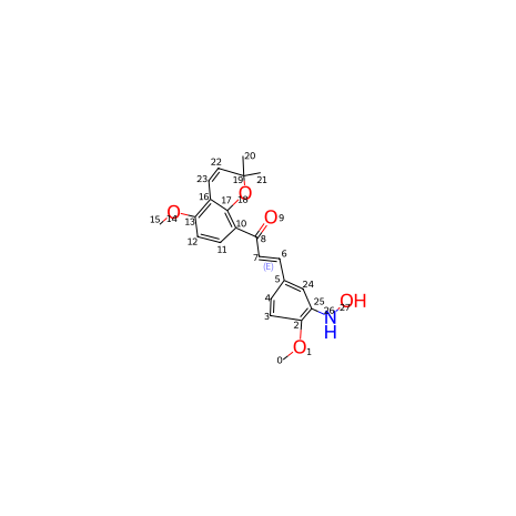 COc1ccc(/C=C/C(=O)c2ccc(OC)c3c2OC(C)(C)C=C3)cc1NO